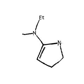 CCN(C)C1=CCC[N]1